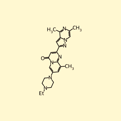 CCN1CCN(c2cc(C)c3nc(-c4cc5c(C)nc(C)cn5n4)cc(=O)n3c2)CC1